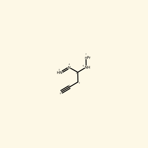 C#CCC(N=N)NCCC